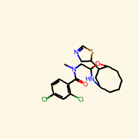 CN(CC1NC2CCCCC(O1)C(C1CN=CS1)C2)C(=O)c1ccc(Cl)cc1Cl